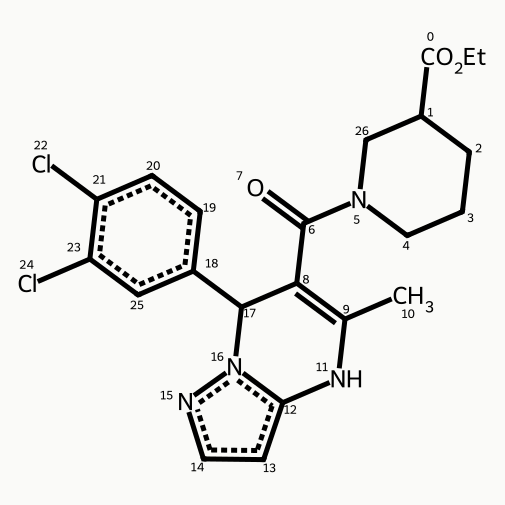 CCOC(=O)C1CCCN(C(=O)C2=C(C)Nc3ccnn3C2c2ccc(Cl)c(Cl)c2)C1